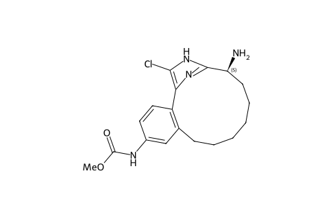 COC(=O)Nc1ccc2c(c1)CCCCCC[C@H](N)c1nc-2c(Cl)[nH]1